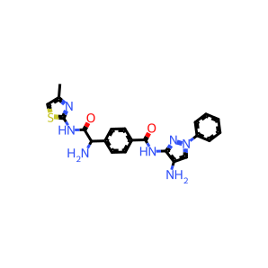 Cc1csc(NC(=O)C(N)c2ccc(C(=O)Nc3nn(-c4ccccc4)cc3N)cc2)n1